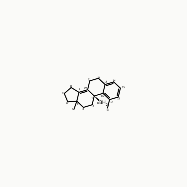 B[C@@]12CCC3(C)CCCC3=C1CCc1cccc(C)c12